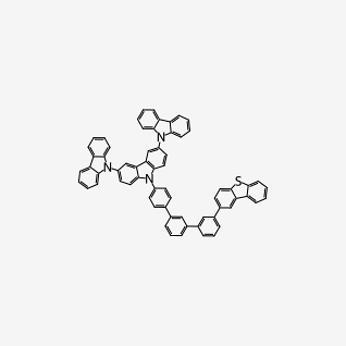 c1cc(-c2ccc(-n3c4ccc(-n5c6ccccc6c6ccccc65)cc4c4cc(-n5c6ccccc6c6ccccc65)ccc43)cc2)cc(-c2cccc(-c3ccc4sc5ccccc5c4c3)c2)c1